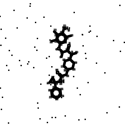 Cc1cc(OC(C)C(=O)N(C)C2CCN(CC(=O)NC3(c4ccccc4)CC3)CC2)c(C)c(C)c1N